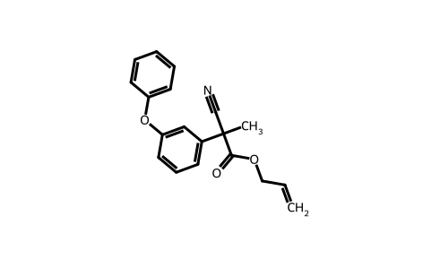 C=CCOC(=O)C(C)(C#N)c1cccc(Oc2ccccc2)c1